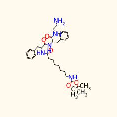 CC(C)(C)OC(=O)NCCCCCCCC(=O)N[C@@H](Cc1ccccc1)C(=O)N[C@@H](Cc1ccccc1)C(=O)NCCN